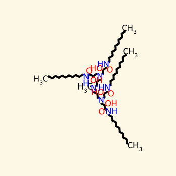 CCCCCCCCCCCCNC(=O)C(O)CN(CCCN(C)CCCN(CC(O)C(=O)NCCCCCCCCCCCC)CC(O)C(=O)NCCCCCCCCCCCC)CC(O)C(=O)NCCCCCCCCCCCC